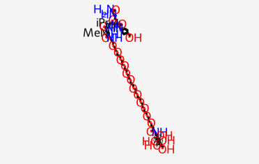 CN[C@@H](CC(=O)NCCOCCOCCOCCOCCOCCOCCOCCOCCOCCOCCOCCOCCC(=O)NC[C@H](O)[C@@H](O)[C@H](O)[C@H](O)CO)C(=O)N[C@H](C(=O)N[C@@H](CCCNC(N)=O)C(=O)Nc1ccc(CO)cc1)C(C)C